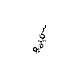 CCCCOc1ccc(NC(=O)c2nnc(Nc3ccccc3F)o2)cn1